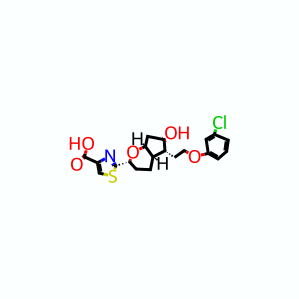 O=C(O)c1csc([C@H]2CC[C@@H]3[C@@H](CCOc4cccc(Cl)c4)[C@H](O)C[C@@H]3O2)n1